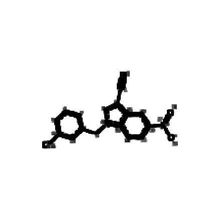 N#Cc1cn(Cc2cccc(Cl)c2)c2ccc([N+](=O)[O-])cc12